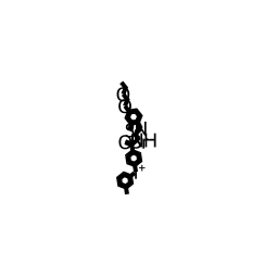 CCOCOc1ccc2nc(NC(=O)c3ccc([I+]c4cccc(C)c4)cc3)sc2c1.[Br-]